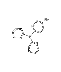 [Rh].c1ccc(P(c2ccccn2)c2ccccn2)nc1